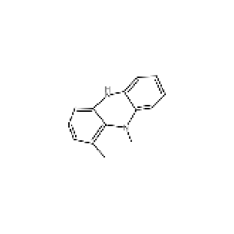 Cc1cccc2c1N(C)c1ccccc1N2